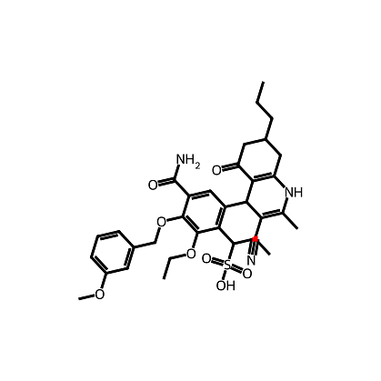 CCCC1CC(=O)C2=C(C1)NC(C)=C(C#N)C2c1cc(C(N)=O)c(OCc2cccc(OC)c2)c(OCC)c1C(CC)S(=O)(=O)O